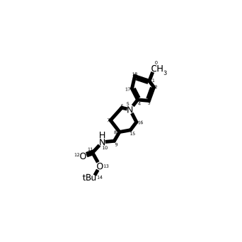 Cc1ccc(N2CCC(CNC(=O)OC(C)(C)C)CC2)cc1